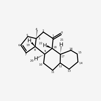 C=C1C[C@]2(C)CC=C[C@H]2[C@@H]2CCC3CCCC[C@@H]3[C@@H]12